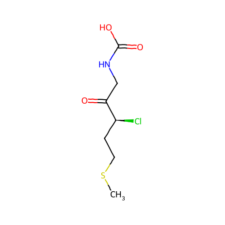 CSCC[C@H](Cl)C(=O)CNC(=O)O